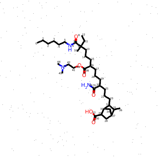 CCCCCCNC(=O)C(C)(CC)CCCC(CCCC(CCCC1C(C)C2CC(C(=O)O)C1C2)C(N)=O)C(=O)OCCN(C)C